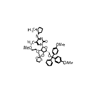 COCCO[C@@H]1[C@H](O[P@]2(=S)OCCS2)[C@@H](COC(c2ccccc2)(c2ccc(OC)cc2)c2ccc(OC)cc2)O[C@H]1n1cc(C)c(/N=C2\CCCN2C)nc1=O